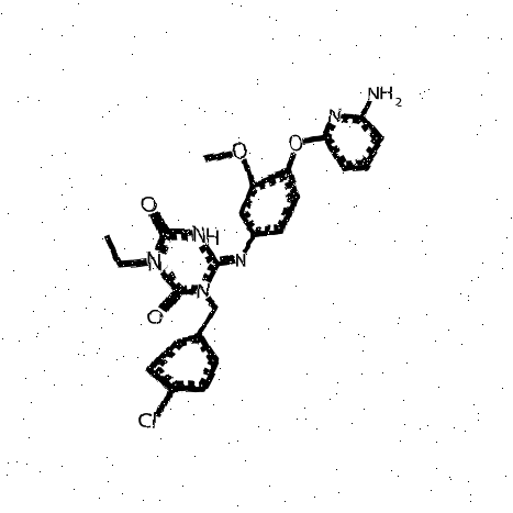 CCn1c(=O)[nH]/c(=N\c2ccc(Oc3cccc(N)n3)c(OC)c2)n(Cc2ccc(Cl)cc2)c1=O